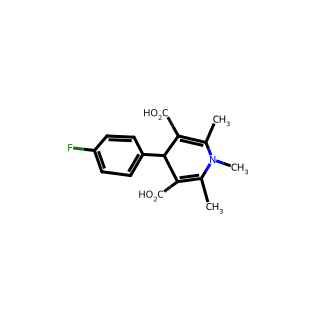 CC1=C(C(=O)O)C(c2ccc(F)cc2)C(C(=O)O)=C(C)N1C